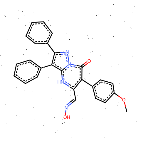 COc1ccc(-c2c(C=NO)[nH]c3c(-c4ccccc4)c(-c4ccccc4)nn3c2=O)cc1